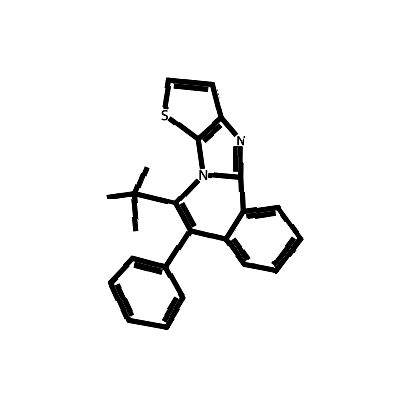 CC(C)(C)c1c(-c2ccccc2)c2ccccc2c2nc3ccsc3n12